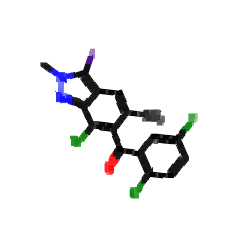 Cn1nc2c(Br)c(C(=O)c3cc(F)ccc3Cl)c([N+](=O)[O-])cc2c1I